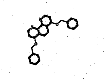 c1ccc(COc2ccnc3c2ccc2c(OCc4ccccc4)ccnc23)cc1